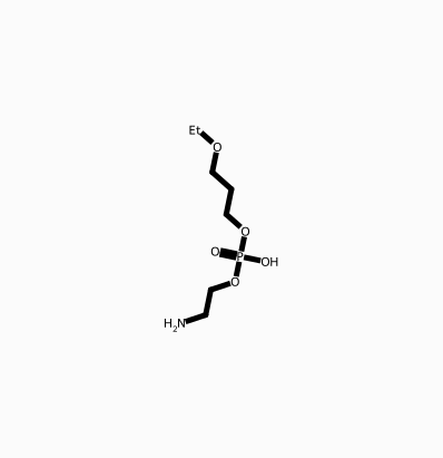 CCOCCCOP(=O)(O)OCCN